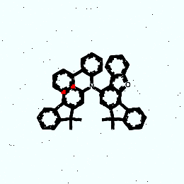 CC1(C)c2ccccc2-c2ccc(N(c3ccccc3-c3ccccc3)c3cc4c(c5oc6ccccc6c35)-c3ccccc3C4(C)C)cc21